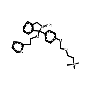 CCCN1Cc2ccccc2C1(OCCc1ccccn1)c1ccc(OCOCC[Si](C)(C)C)cc1